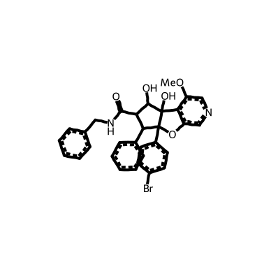 COc1cncc2c1C1(O)C(O)C(C(=O)NCc3ccccc3)C(c3ccccc3)C1(c1ccc(Br)cc1)O2